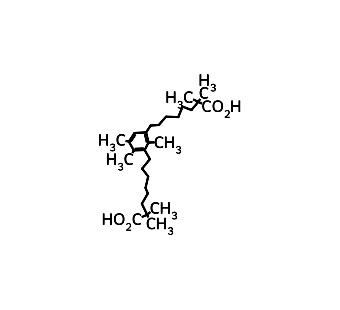 Cc1cc(CCCCCCC(C)(C)C(=O)O)c(C)c(CCCCCCC(C)(C)C(=O)O)c1C